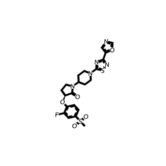 CS(=O)(=O)c1ccc(O[C@H]2CCN(C3CCN(c4nc(-c5cnco5)ns4)CC3)C2=O)c(F)c1